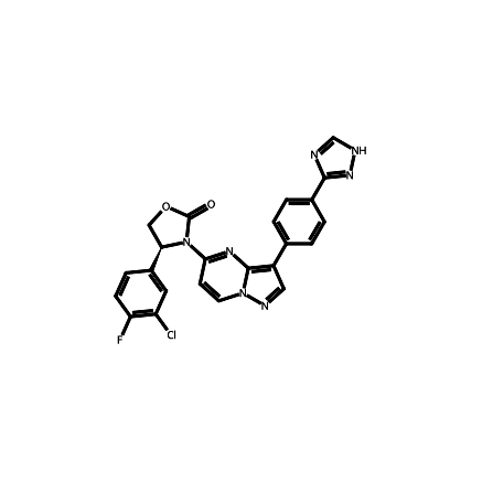 O=C1OC[C@H](c2ccc(F)c(Cl)c2)N1c1ccn2ncc(-c3ccc(-c4nc[nH]n4)cc3)c2n1